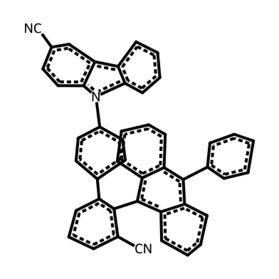 N#Cc1ccc2c(c1)c1ccccc1n2-c1ccc(-c2cccc(C#N)c2-c2c3ccccc3c(-c3ccccc3)c3ccccc23)cc1